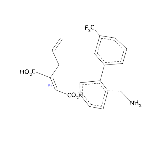 C=CC/C(=C\C(=O)O)C(=O)O.NCc1ccccc1-c1cccc(C(F)(F)F)c1